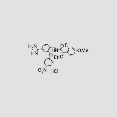 CCO[C@H](C(=O)NCc1ccc(C(=N)N)cc1Oc1ccc([N+](=O)[O-])cn1)c1ccc(OC)cc1F.Cl